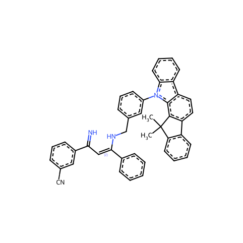 CC1(C)c2ccccc2-c2ccc3c4ccccc4n(-c4cccc(CN/C(=C\C(=N)c5cccc(C#N)c5)c5ccccc5)c4)c3c21